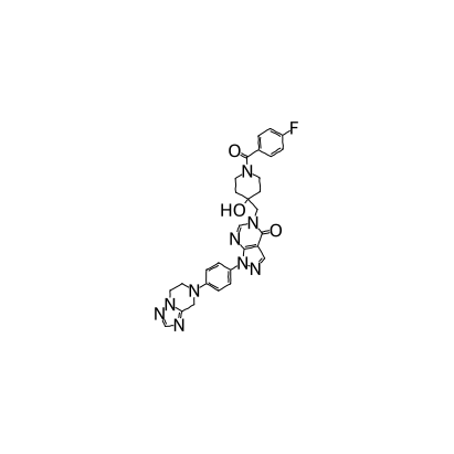 O=C(c1ccc(F)cc1)N1CCC(O)(Cn2cnc3c(cnn3-c3ccc(N4CCn5ncnc5C4)cc3)c2=O)CC1